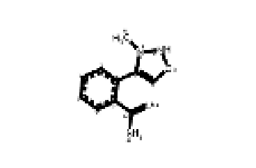 CN1NOC=C1c1ccccc1C(N)=O